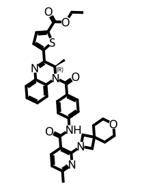 CCOC(=O)c1ccc(C2=Nc3ccccc3N(C(=O)c3ccc(NC(=O)c4ccc(C)nc4N4CC5(CCOCC5)C4)cc3)[C@@H]2C)s1